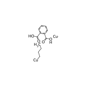 CCC[CH2][Cu].O=C(O)c1ccccc1C(=O)O.[Cu]